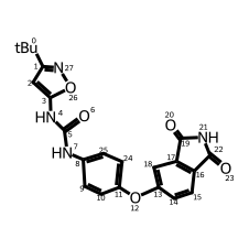 CC(C)(C)c1cc(NC(=O)Nc2ccc(Oc3ccc4c(c3)C(=O)NC4=O)cc2)on1